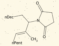 CCCCC/C=C(\C)C(CCCCCCCCCCC)N1C(=O)CCC1=O